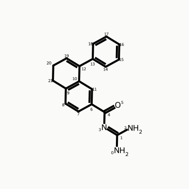 NC(N)=NC(=O)c1ccc2c(c1)C(c1ccccc1)=CCC2